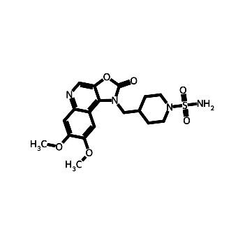 COc1cc2ncc3oc(=O)n(CC4CCN(S(N)(=O)=O)CC4)c3c2cc1OC